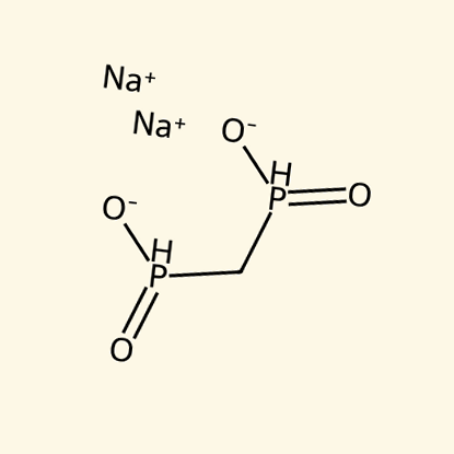 O=[PH]([O-])C[PH](=O)[O-].[Na+].[Na+]